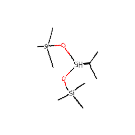 CC(C)[SiH](O[Si](C)(C)C)O[Si](C)(C)C